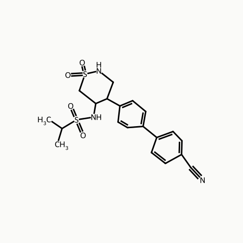 CC(C)S(=O)(=O)NC1CS(=O)(=O)NCC1c1ccc(-c2ccc(C#N)cc2)cc1